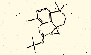 CC(C)(C)OC(=O)[C@H]1C[C@@]12CCC(F)(F)c1ccc(O)c(F)c12